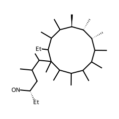 CCC1C(C)C(C)[C@@H](C)[C@H](C)[C@H](C)C(C)C(C)C(C)C(C)C(C)C1(C)C(C)C(C)C[C@H](CC)N=O